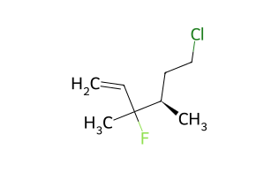 C=CC(C)(F)[C@H](C)CCCl